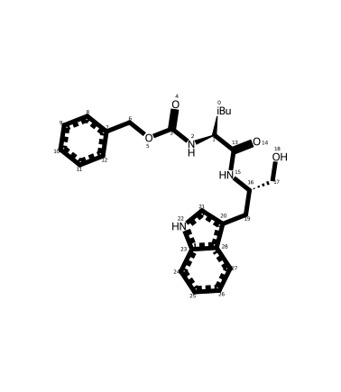 CC[C@H](C)[C@H](NC(=O)OCc1ccccc1)C(=O)N[C@H](CO)Cc1c[nH]c2ccccc12